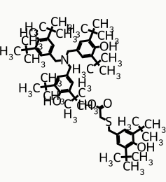 CC(C)(C)c1cc(CN(Cc2cc(C(C)(C)C)c(O)c(C(C)(C)C)c2)Cc2cc(C(C)(C)C)c(O)c(C(C)(C)C)c2)cc(C(C)(C)C)c1O.CC(C)(C)c1cc(CSCC(=O)O)cc(C(C)(C)C)c1O